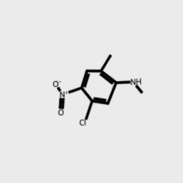 CNc1cc(Cl)c([N+](=O)[O-])cc1C